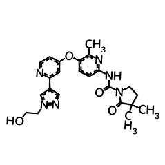 Cc1nc(NC(=O)N2CCC(C)(C)C2=O)ccc1Oc1ccnc(-c2cnn(CCO)c2)c1